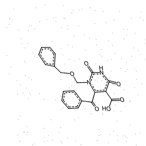 O=C(O)c1c(C(=O)c2ccccc2)n(COCc2ccccc2)c(=O)[nH]c1=O